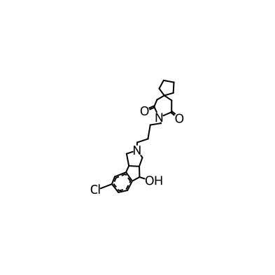 O=C1CC2(CCCC2)CC(=O)N1CCCCN1CC2c3cc(Cl)ccc3C(O)C2C1